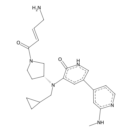 CNc1cc(-c2c[nH]c(=O)c(N(CC3CC3)[C@@H]3CCN(C(=O)/C=C/CN)C3)c2)ccn1